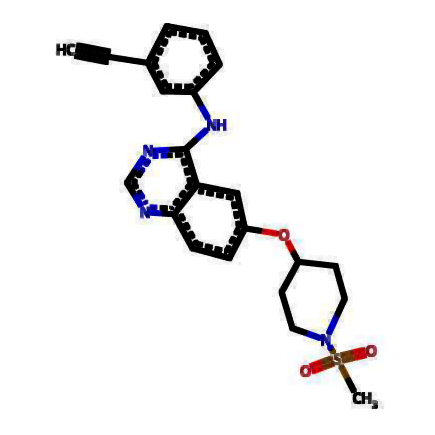 C#Cc1cccc(Nc2ncnc3ccc(OC4CCN(S(C)(=O)=O)CC4)cc23)c1